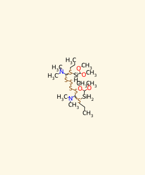 CCCS([SiH2]C(OC)OC)=C(SSSSC(N(C)C)=S(CCC)[SiH2]C(OC)OC)N(C)C